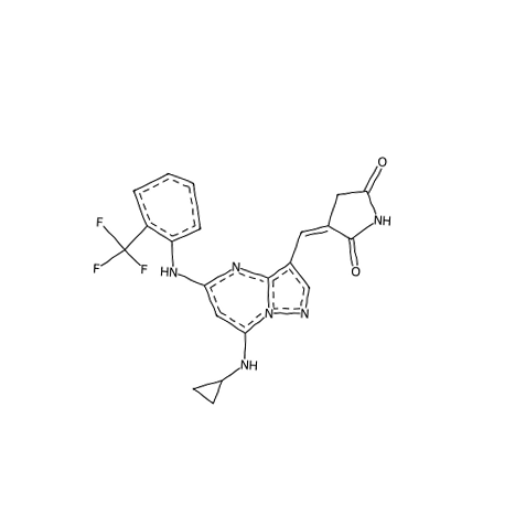 O=C1CC(=Cc2cnn3c(NC4CC4)cc(Nc4ccccc4C(F)(F)F)nc23)C(=O)N1